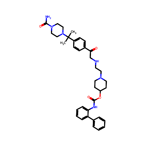 CC(C)(c1ccc(C(=O)CNCCN2CCC(OC(=O)Nc3ccccc3-c3ccccc3)CC2)cc1)N1CCN(C(N)=O)CC1